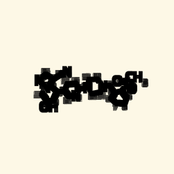 CS(=O)(=O)c1ccccc1CN1CCN(c2ccc(-c3cc(O)cn4ncc(C#N)c34)cn2)CC1